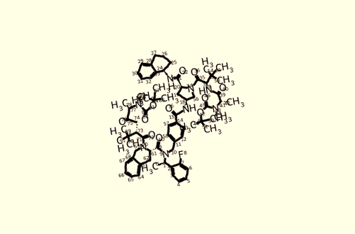 C[C@H](c1ccccc1F)N(Cc1ccc(C(=O)N[C@H]2C[C@@H](C(=O)N[C@@H]3CCCc4ccccc43)N(C(=O)[C@@H](NC(=O)[C@H](C)N(C)C(=O)OC(C)(C)C)C(C)(C)C)C2)cc1)C(=O)[C@@H]1Cc2ccccc2CN1C(=O)[C@@H](CC(=O)[C@H](C)N(C)C(=O)OC(C)(C)C)C(C)(C)C